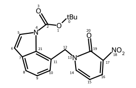 CC(C)(C)OC(=O)n1ccc2cccc(Cn3cccc([N+](=O)[O-])c3=O)c21